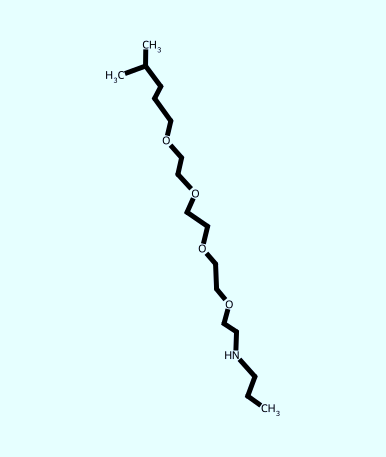 CCCNCCOCCOCCOCCOCCCC(C)C